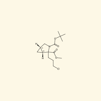 COC(=O)C1(CCCCl)[C@@H]2C[C@@H]2CN1C(=O)OC(C)(C)C